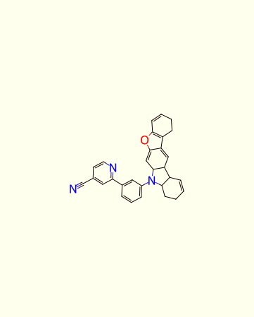 N#Cc1ccnc(-c2cccc(N3C4C=c5oc6c(c5=CC4C4C=CCCC43)CCC=C6)c2)c1